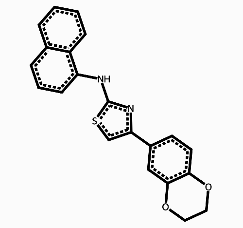 c1ccc2c(Nc3nc(-c4ccc5c(c4)OCCO5)cs3)cccc2c1